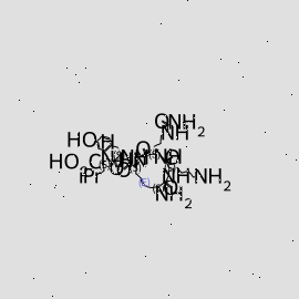 CC(C)C[C@H](NC(=O)[C@H](Cc1ccc(O)cc1)NC(=O)[C@@H]1C/C=C/C[C@H](N)C(=O)N[C@@H](CCCCN)C(=O)N[C@@H](CCCNC(N)=O)C(=O)N1)C(=O)O